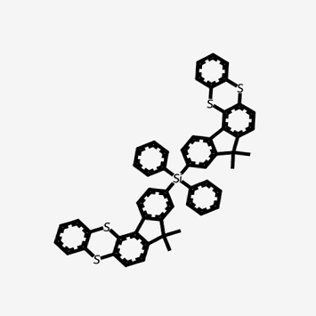 CC1(C)c2cc([Si](c3ccccc3)(c3ccccc3)c3ccc4c(c3)C(C)(C)c3ccc5c(c3-4)Sc3ccccc3S5)ccc2-c2c1ccc1c2Sc2ccccc2S1